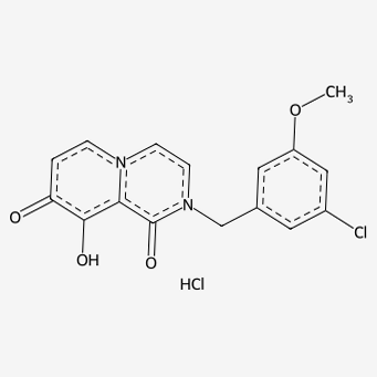 COc1cc(Cl)cc(Cn2ccn3ccc(=O)c(O)c3c2=O)c1.Cl